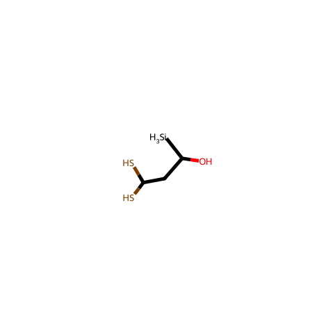 OC([SiH3])CC(S)S